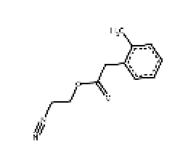 Cc1ccccc1CC(=O)OCC[N+]#N